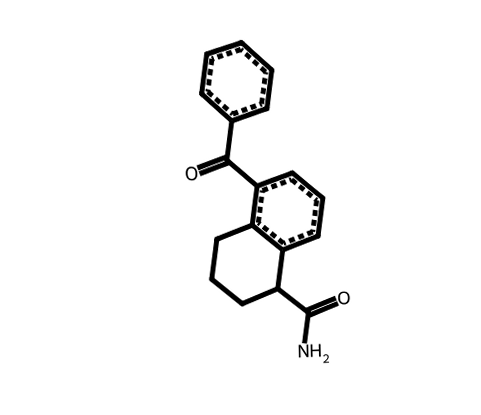 NC(=O)C1CCCc2c(C(=O)c3ccccc3)cccc21